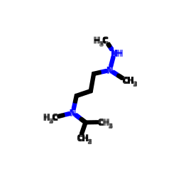 CNN(C)CCCN(C)C(C)C